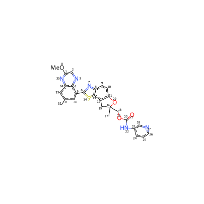 COc1cnc2c(-c3nc4ccc5c(c4s3)CC(C)(COC(=O)Nc3cccnc3)O5)cc(C)cc2n1